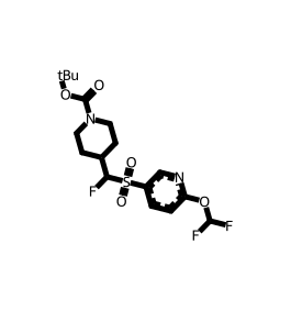 CC(C)(C)OC(=O)N1CCC(C(F)S(=O)(=O)c2ccc(OC(F)F)nc2)CC1